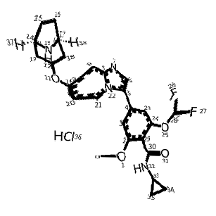 COc1cc(-c2cnc3cc(OC4C[C@H]5CC[C@@H](C4)N5)ccn23)cc(OC(F)F)c1C(=O)NC1CC1.Cl